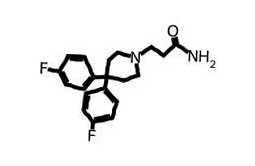 NC(=O)CCN1CCC(c2ccc(F)cc2)(c2ccc(F)cc2)CC1